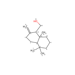 C=C1CCC2C(C)(C)CCCC2(C)C1CO